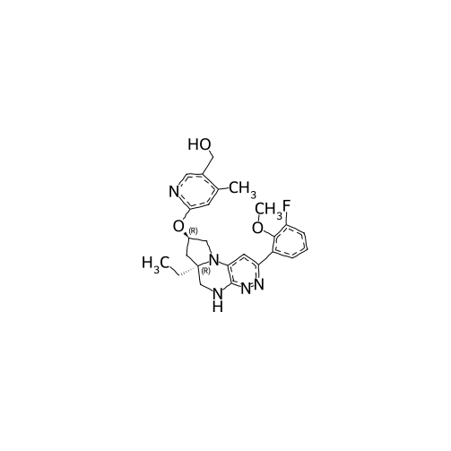 CC[C@@]12CNc3nnc(-c4cccc(F)c4OC)cc3N1C[C@H](Oc1cc(C)c(CO)cn1)C2